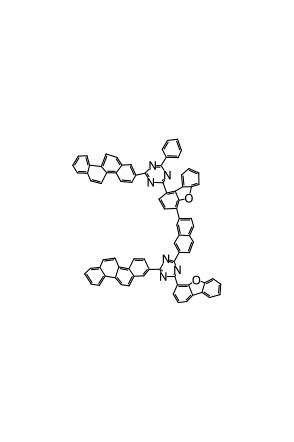 c1ccc(-c2nc(-c3ccc4c(ccc5c6ccccc6ccc45)c3)nc(-c3ccc(-c4ccc5ccc(-c6nc(-c7ccc8c(ccc9c%10ccccc%10ccc89)c7)nc(-c7cccc8c7oc7ccccc78)n6)cc5c4)c4oc5ccccc5c34)n2)cc1